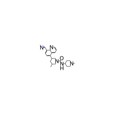 C/N=C/c1ccc(C2CC(C)CN(C(=O)NC3CCN(C)CC3)C2)c2cccnc12